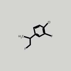 [CH2]C(CF)c1ccc(Cl)c(F)c1